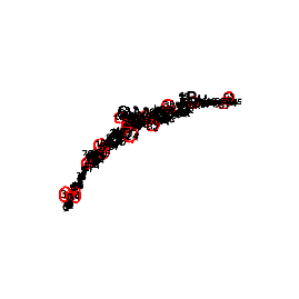 C=CC(=O)OCCCCCCOc1ccc(OC(=O)[C@H]2CC[C@H](C(=O)Oc3ccc(OC(=O)[C@H]4CC[C@H](C(=O)Cc5ccc(OCCCCCCOC(=O)C=C)c(C(C)(C)C)c5)CC4)cc3C(=O)OC)CC2)cc1C